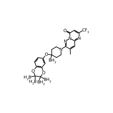 BC1(Oc2ccc3c(c2)OC(B)(B)C(B)(B)O3)CCN(c2nn3c(=O)cc(C(F)(F)F)nc3cc2C)CC1